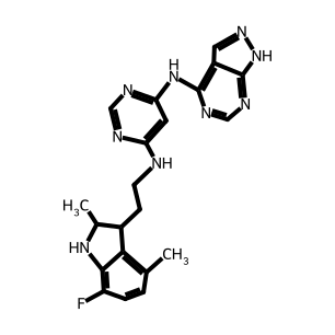 Cc1ccc(F)c2c1C(CCNc1cc(Nc3ncnc4[nH]ncc34)ncn1)C(C)N2